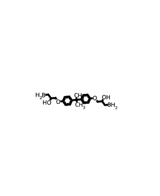 BCC(O)COc1ccc(C(C)(C)c2ccc(OCC(O)CB)cc2)cc1